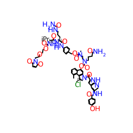 Cc1cccc2c(OC(=O)N(CCCC(N)=O)CCN(C)C(=O)OCc3ccc(NC(=O)[C@H](CCCNC(N)=O)NC(=O)[C@@H](NC(=O)OCCOCCN4C(=O)C=CC4=O)C(C)C)cc3)cc3c(c12)[C@H](CCl)CN3C(=O)c1cc2cc(NC(=O)c3ccc(O)cc3)cnc2[nH]1